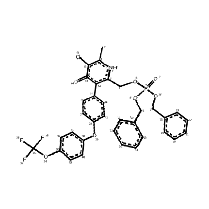 Cc1[nH]c(COP(=O)(OCc2ccccc2)OCc2ccccc2)c(-c2ccc(Oc3ccc(OC(F)(F)F)cc3)cc2)c(=O)c1Cl